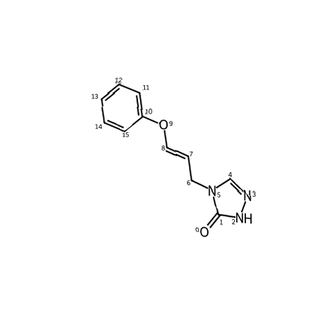 O=c1[nH]ncn1CC=COc1ccccc1